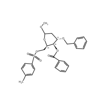 COC1C[C@H](OCc2ccccc2)[C@@H](OC(=O)c2ccccc2)[C@@H](COS(=O)(=O)c2ccc(C)cc2)O1